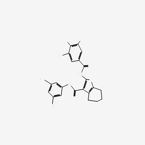 O=C(Nc1sc2c(c1C(=O)Nc1cc(O)cc(O)c1)CCCC2)c1cc(O)c(O)c(O)c1